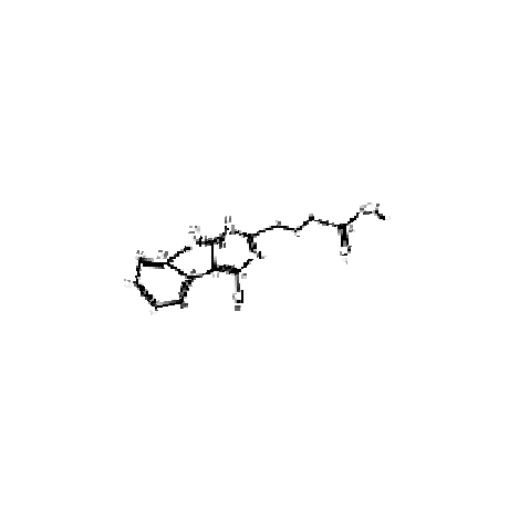 COC(=O)CCCc1nc(Cl)c2c(n1)[nH]c1ccccc12